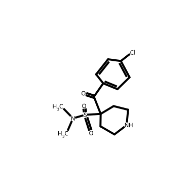 CN(C)S(=O)(=O)C1(C(=O)c2ccc(Cl)cc2)CCNCC1